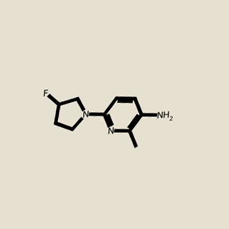 Cc1nc(N2CCC(F)C2)ccc1N